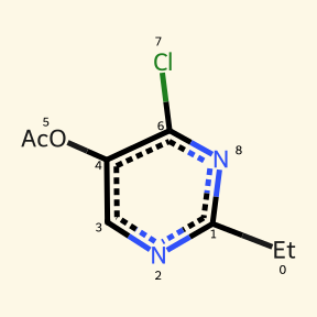 CCc1ncc(OC(C)=O)c(Cl)n1